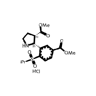 COC(=O)c1ccc(S(=O)(=O)C(C)C)c([C@@H]2NCC[C@@H]2C(=O)OC)c1.Cl